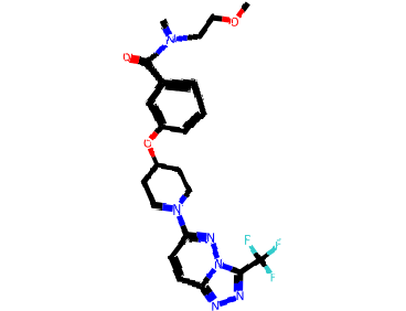 COCCN(C)C(=O)c1cccc(OC2CCN(c3ccc4nnc(C(F)(F)F)n4n3)CC2)c1